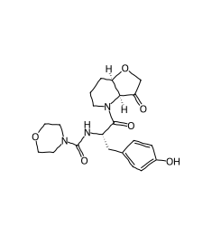 O=C1CO[C@@H]2CCCN(C(=O)[C@H](Cc3ccc(O)cc3)NC(=O)N3CCOCC3)[C@H]12